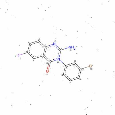 Nc1nc2ccc(I)cc2c(=O)n1-c1cccc(Br)c1